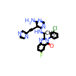 CC(Nc1ncnc(N)c1C#Cc1cnccn1)c1nc2ccc(F)cc2c(=O)n1-c1cccc(Cl)c1